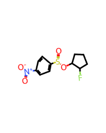 O=[N+]([O-])c1ccc(S(=O)OC2CCCC2F)cc1